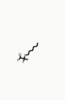 [CH2]CCCCCSC(F)(F)C(F)Cl